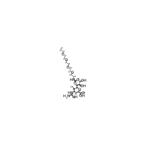 CCCOCCOCCOCCOCCNC(=O)O[C@@H]([C@@H]1OC(C(=O)O)=C[C@H](NC(=N)N)[C@H]1C)[C@H](O)CO